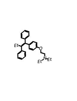 CC/C(=C(\c1ccccc1)c1ccc(OCCN(CC)CC)cc1)c1ccccc1